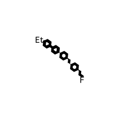 CCc1ccc(-c2ccc([C@H]3CC[C@H](CC[C@H]4CC[C@H](CCCF)CC4)CC3)cc2)cc1